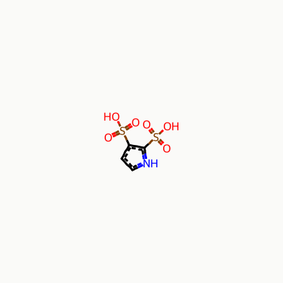 O=S(=O)(O)c1cc[nH]c1S(=O)(=O)O